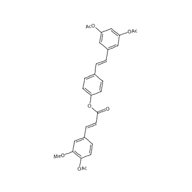 COc1cc(C=CC(=O)Oc2ccc(C=Cc3cc(OC(C)=O)cc(OC(C)=O)c3)cc2)ccc1OC(C)=O